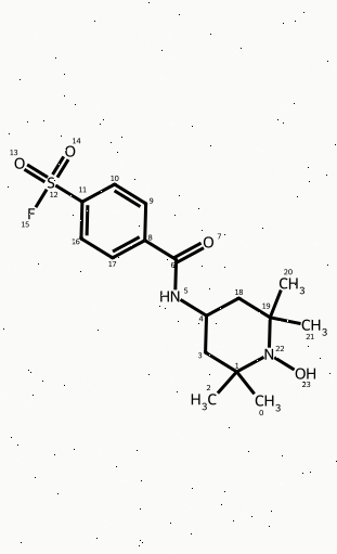 CC1(C)CC(NC(=O)c2ccc(S(=O)(=O)F)cc2)CC(C)(C)N1O